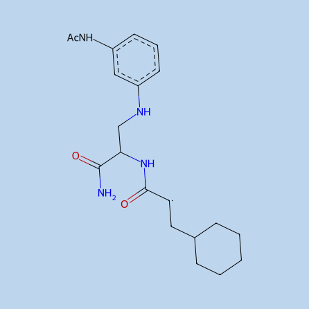 CC(=O)Nc1cccc(NCC(NC(=O)[CH]CC2CCCCC2)C(N)=O)c1